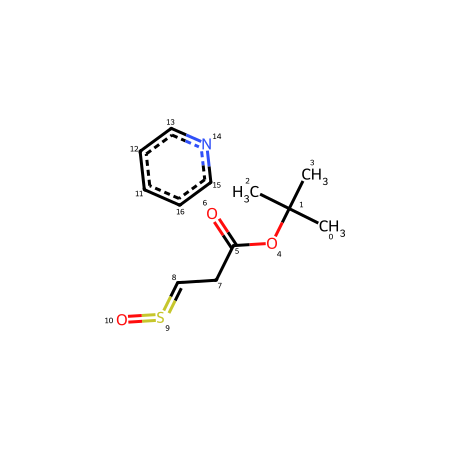 CC(C)(C)OC(=O)CC=S=O.c1ccncc1